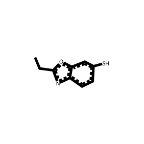 CCc1nc2ccc(S)cc2o1